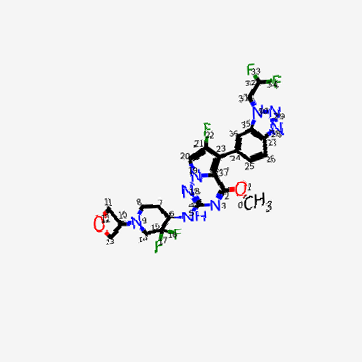 COc1nc(N[C@@H]2CCN(C3COC3)CC2(F)F)nn2cc(F)c(-c3ccc4nnn(CC(F)F)c4c3)c12